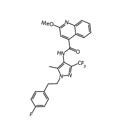 COc1cc(C(=O)Nc2c(C(F)(F)F)nn(CCc3ccc(F)cc3)c2C)c2ccccc2n1